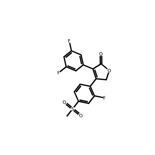 CS(=O)(=O)c1ccc(C2=C(c3cc(F)cc(F)c3)C(=O)OC2)c(F)c1